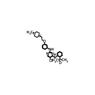 CN1CCN(CCOc2cccc(Nc3ncc(Cl)c(Nc4ccccc4P(C)(C)=O)n3)c2)CC1